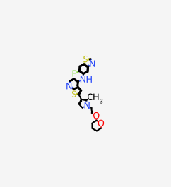 CC1C(c2cc3c(Nc4cc5ncsc5cc4F)ccnc3s2)=CCN1CCOC1CCCCO1